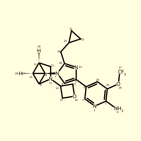 Nc1ncc(-c2cn([C@@]34C5[C@H]3[C@H]4CN5C3COC3)c(CC3CC3)n2)cc1OC(F)(F)F